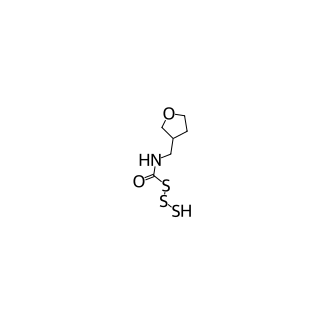 O=C(NCC1CCOC1)SSS